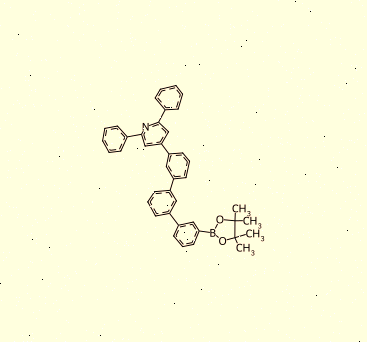 CC1(C)OB(c2cccc(-c3cccc(-c4cccc(-c5cc(-c6ccccc6)nc(-c6ccccc6)c5)c4)c3)c2)OC1(C)C